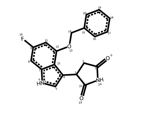 O=C1CC(c2c[nH]c3cc(F)cc(OCc4ccccc4)c23)C(=O)N1